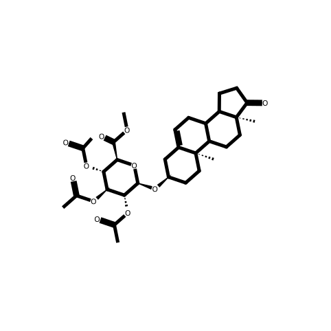 COC(=O)[C@H]1O[C@@H](O[C@@H]2CC[C@@]3(C)C(=CCC4C3CC[C@]3(C)C(=O)CCC43)C2)[C@H](OC(C)=O)[C@@H](OC(C)=O)[C@@H]1OC(C)=O